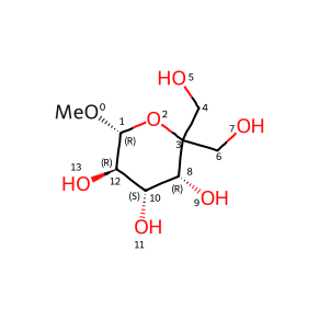 CO[C@@H]1OC(CO)(CO)[C@H](O)[C@H](O)[C@H]1O